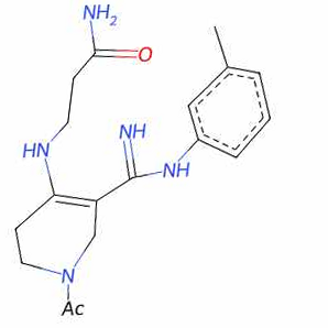 CC(=O)N1CCC(NCCC(N)=O)=C(C(=N)Nc2cccc(C)c2)C1